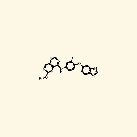 CCOc1ncc2ncnc(Nc3ccc(Oc4ccc5scnc5c4)c(C)c3)c2n1